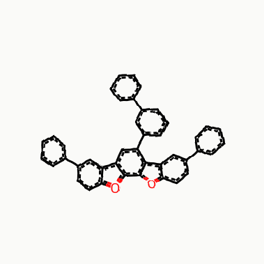 c1ccc(-c2cccc(-c3cc4c5cc(-c6ccccc6)ccc5oc4c4oc5ccc(-c6ccccc6)cc5c34)c2)cc1